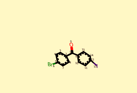 O=C(c1ccc(Br)cc1)c1ccc(I)cc1